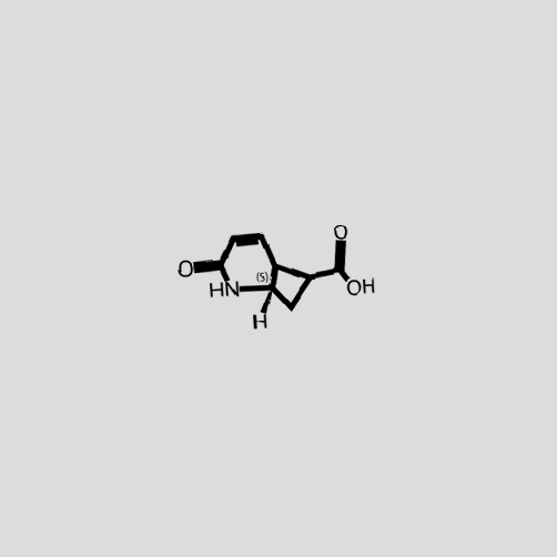 O=C1C=CC2C(C(=O)O)C[C@@H]2N1